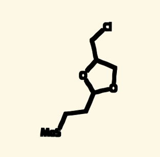 CSCCC1OCC(CCl)O1